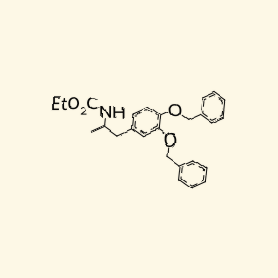 CCOC(=O)NC(C)Cc1ccc(OCc2ccccc2)c(OCc2ccccc2)c1